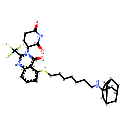 O=C1CCC(n2c(C(F)(F)F)nc3cccc(SCCCCCCCNC45CC6CC(CC(C6)C4)C5)c3c2=O)C(=O)N1